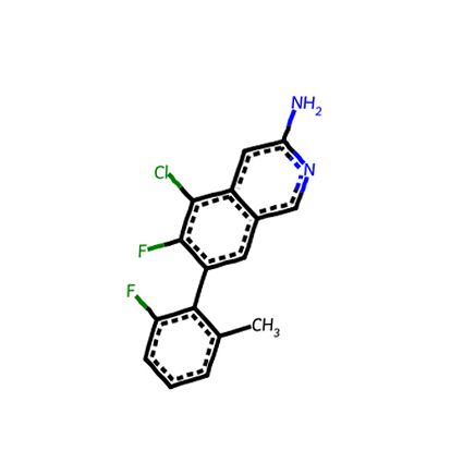 Cc1cccc(F)c1-c1cc2cnc(N)cc2c(Cl)c1F